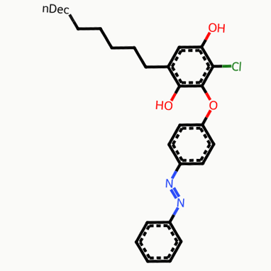 CCCCCCCCCCCCCCCc1cc(O)c(Cl)c(Oc2ccc(/N=N/c3ccccc3)cc2)c1O